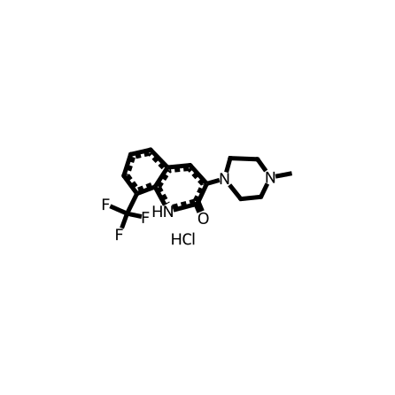 CN1CCN(c2cc3cccc(C(F)(F)F)c3[nH]c2=O)CC1.Cl